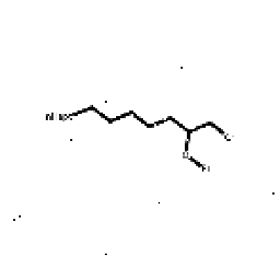 CCCCCCCCCCCCC(C[O])OCC